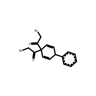 O=C(CBr)C1(C(=O)CBr)C=CC(c2ccccc2)C=C1